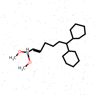 CO[SiH](C=CCCCC(C1CCCCC1)C1CCCCC1)OC